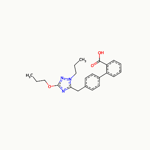 CCCOc1nc(Cc2ccc(-c3ccccc3C(=O)O)cc2)n(CCC)n1